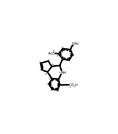 CC(=O)Oc1ccc(C2Nc3c(C(=O)O)cccc3C3C=CCC32)c(OC(C)=O)c1